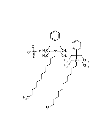 CCCCCCCCCCCC[N+](CC)(CC)C(CC)(CC)c1ccccc1.CCCCCCCCCCCC[N+](CC)(CC)C(CC)(CC)c1ccccc1.O=S(=O)([O-])[O-]